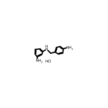 Cl.Nc1ccc(CNc2cccc(N)c2)cc1